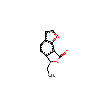 CC[C@@H]1OC(=O)c2c1ccc1ccoc21